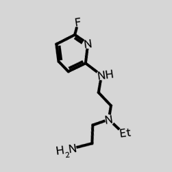 CCN(CCN)CCNc1cccc(F)n1